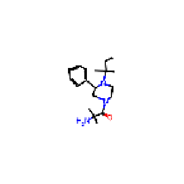 CCC(C)(C)N1CCN(C(=O)C(C)(C)N)CC1c1ccccc1